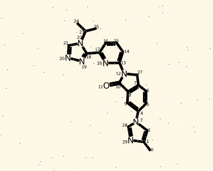 Cc1cn(-c2ccc3c(c2)C(=O)N(c2cccc(-c4nncn4C(C)C)n2)C3)cn1